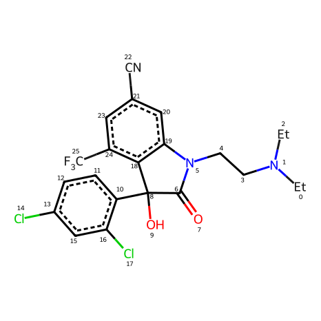 CCN(CC)CCN1C(=O)C(O)(c2ccc(Cl)cc2Cl)c2c1cc(C#N)cc2C(F)(F)F